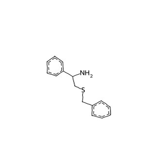 NC(CSCc1ccccc1)c1ccccc1